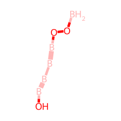 BOOB=BB=BO